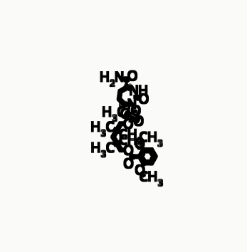 COc1cccc(OC)c1C(=O)OCC(C)(C)CC(C)(C)COS(=O)(=O)ON1C(=O)N[C@H](C(N)=O)CC[C@@H]1C